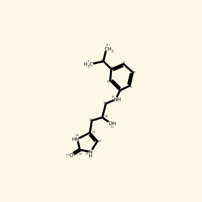 CC(C)c1cccc(NCC(O)Cc2c[nH]c(=O)[nH]2)c1